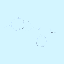 O=C(O)c1ccccc1C(=O)c1cc2ccc(Br)cc2s1